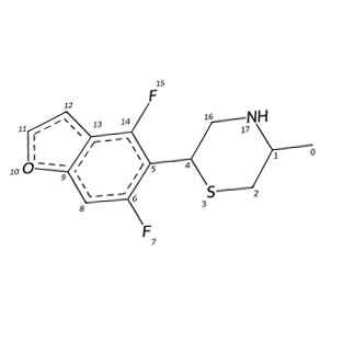 CC1CSC(c2c(F)cc3occc3c2F)CN1